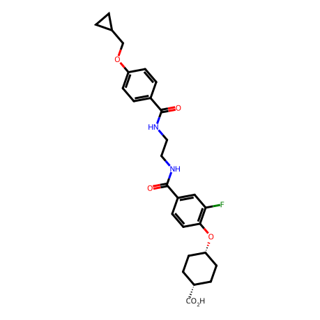 O=C(NCCNC(=O)c1ccc(O[C@H]2CC[C@@H](C(=O)O)CC2)c(F)c1)c1ccc(OCC2CC2)cc1